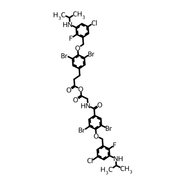 CC(C)Nc1cc(Cl)cc(COc2c(Br)cc(CCC(=O)OC(=O)CNC(=O)c3cc(Br)c(OCc4cc(Cl)cc(NC(C)C)c4F)c(Br)c3)cc2Br)c1F